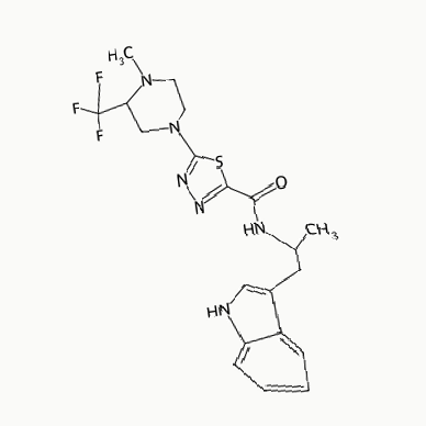 CC(Cc1c[nH]c2ccccc12)NC(=O)c1nnc(N2CCN(C)C(C(F)(F)F)C2)s1